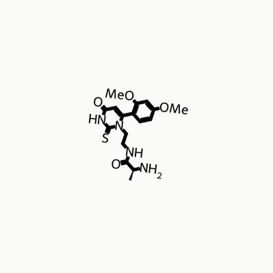 COc1ccc(-c2cc(=O)[nH]c(=S)n2CCNC(=O)[C@H](C)N)c(OC)c1